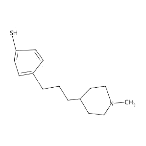 CN1CCC(CCCc2ccc(S)cc2)CC1